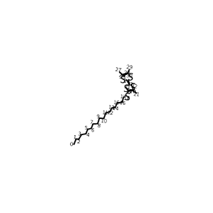 CCCCCCCCCCCCCCCCCCSC1=C(C)SC(=C2SC(C)=C(C)S2)S1